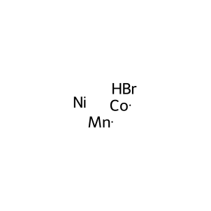 Br.[Co].[Mn].[Ni]